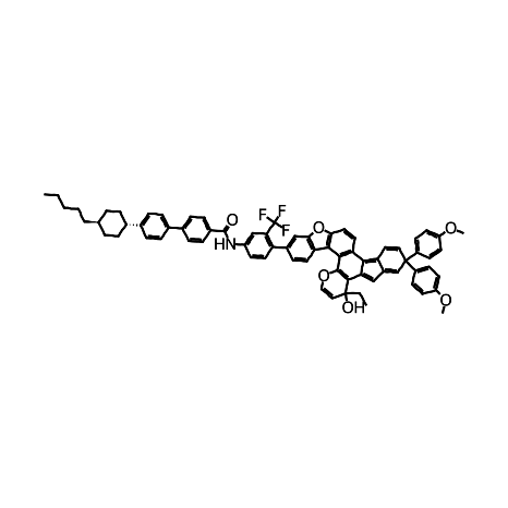 CCCCC[C@H]1CC[C@H](c2ccc(-c3ccc(C(=O)Nc4ccc(-c5ccc6c(c5)oc5ccc7c8c(c9c(c7c56)OC=CC9(O)CC)=CC5=CC(c6ccc(OC)cc6)(c6ccc(OC)cc6)C=CC=85)c(C(F)(F)F)c4)cc3)cc2)CC1